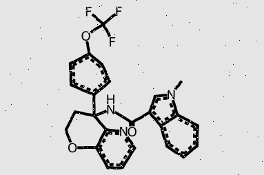 Cn1cc(C(=O)NC2(c3ccc(OC(F)(F)F)cc3)CCOc3cccnc32)c2ccccc21